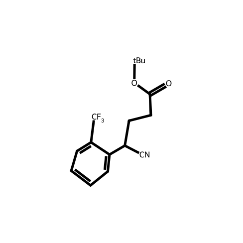 CC(C)(C)OC(=O)CCC(C#N)c1ccccc1C(F)(F)F